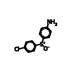 Nc1ccc([S+]([O-])c2ccc(Cl)cc2)cc1